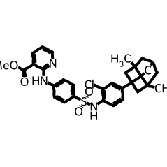 COC(=O)c1cccnc1Nc1ccc(S(=O)(=O)Nc2ccc(C34CC5(C)CC6CC(C)(C3)C54C6)cc2Cl)cc1